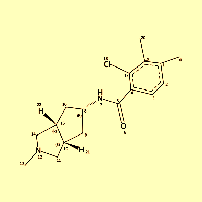 Cc1ccc(C(=O)N[C@@H]2C[C@@H]3CN(C)C[C@@H]3C2)c(Cl)c1C